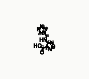 O=C(O)c1nonc1NCn1cnnn1